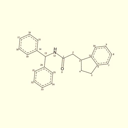 O=C(CC1CCc2ccccc21)NC(c1ccccc1)c1ccccc1